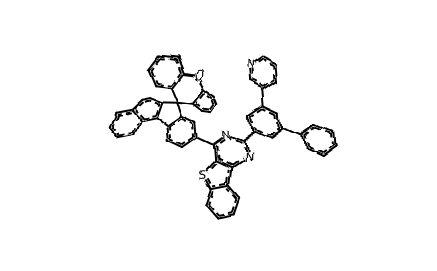 c1ccc(-c2cc(-c3cccnc3)cc(-c3nc(-c4ccc5c(c4)C4(c6ccccc6Oc6ccccc64)c4ccc6ccccc6c4-5)c4sc5ccccc5c4n3)c2)cc1